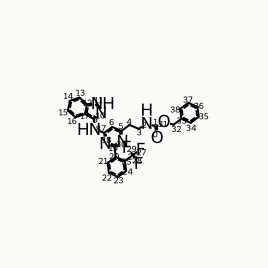 O=C(NCCc1cc(Nc2n[nH]c3ccccc23)nc(-c2ccccc2C(F)(F)F)n1)OCc1ccccc1